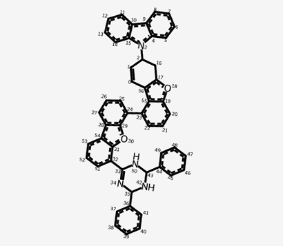 C1=CC(n2c3ccccc3c3ccccc32)Cc2oc3cccc(-c4cccc5c4oc4c(C6=NC(c7ccccc7)NC(c7ccccc7)N6)cccc45)c3c21